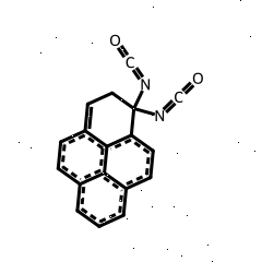 O=C=NC1(N=C=O)CC=c2ccc3cccc4ccc1c2c43